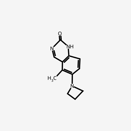 Cc1c(N2CCC2)ccc2[nH]c(=O)ncc12